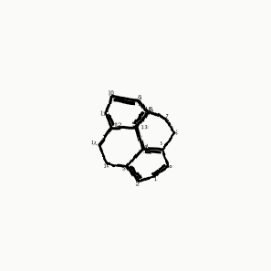 [c]1ccc2c3c1CCc1cccc(c1-3)CC2